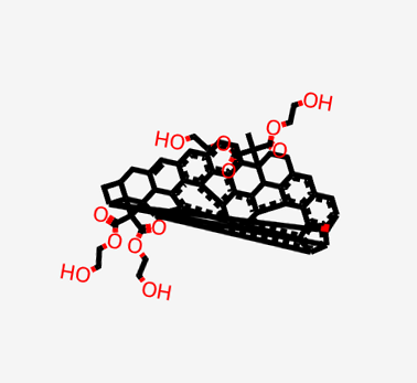 CC(C(=O)OCCO)(C(=O)OCCO)C12CCc3cc4cc5c6c7c8c9c%10c%11c%12c(cc%13ccc1c1c%14c%15c%16c(c3C%152)c4c6c8c%16c%10c%14c%12c%131)C=C1CC2CC7(C=C5)C23C(C(=O)OCCO)(C(=O)OCCO)C93C1%11